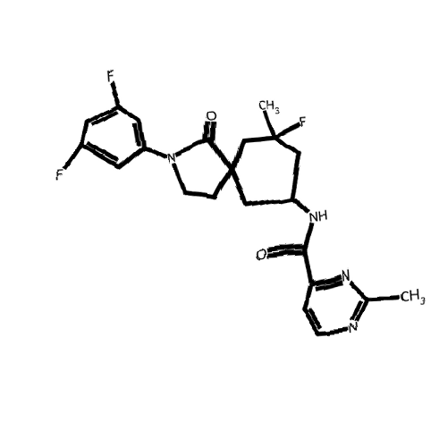 Cc1nccc(C(=O)NC2CC(C)(F)CC3(CCN(c4cc(F)cc(F)c4)C3=O)C2)n1